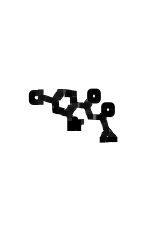 O=C(CC(=O)C1CC1)c1ccc(Cl)cc1Br